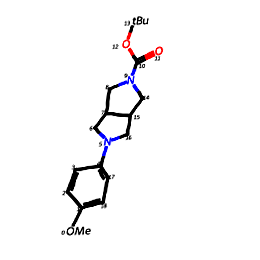 COc1ccc(N2CC3CN(C(=O)OC(C)(C)C)CC3C2)cc1